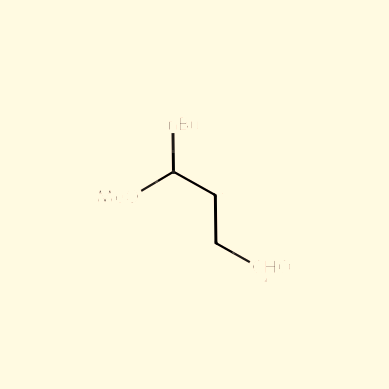 CCCCC(CCC=O)OC